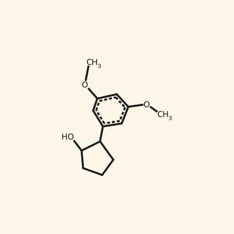 COc1cc(OC)cc(C2CCCC2O)c1